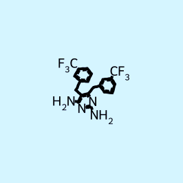 Nc1nc(N)c(Cc2cccc(C(F)(F)F)c2)c(Cc2cccc(C(F)(F)F)c2)n1